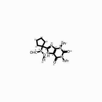 CCCn1c(=O)c2[nH]c(C3(N(C=O)OCC)CCCC3)nc2n(CCC)c1=O